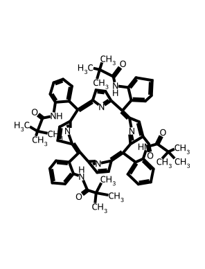 CC(C)(C)C(=O)Nc1ccccc1C1=C2C=CC(=N2)C(c2ccccc2NC(=O)C(C)(C)C)=C2C=C(C=O)C(=N2)C(c2ccccc2NC(=O)C(C)(C)C)=C2C=CC(=N2)C(c2ccccc2NC(=O)C(C)(C)C)=C2C=CC1=N2